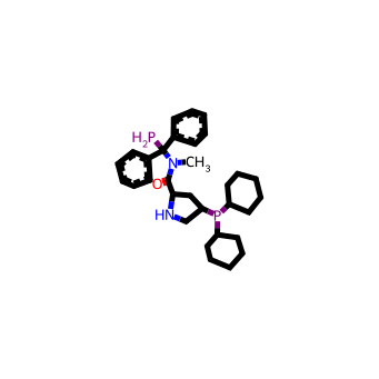 CN(C(=O)C1CC(P(C2CCCCC2)C2CCCCC2)CN1)C(P)(c1ccccc1)c1ccccc1